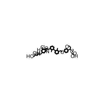 Cc1c(COc2ccc3c(c2)OCCC3N(C)CC(=O)O)cccc1-c1cccc(-c2nc3cc(CNC[C@H](O)CO)cc(Cl)c3o2)c1C